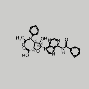 CC(=O)N(c1ccccc1)[C@H]1[C@@H](O)[C@H](n2cnc3c(NC(=O)c4ccccc4)ncnc32)O[C@@H]1C(=O)O